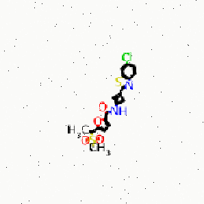 CC(c1ccc(C(=O)NC23CC(c4nc5ccc(Cl)cc5s4)(C2)C3)o1)S(C)(=O)=O